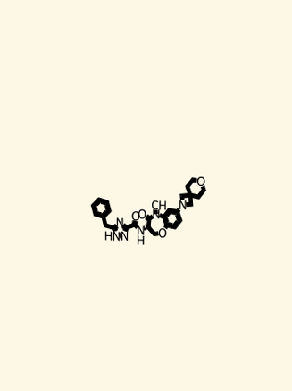 CN1C(=O)[C@H](NC(=O)c2n[nH]c(Cc3ccccc3)n2)COc2ccc(N3CC4(CCOCC4)C3)cc21